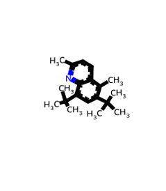 Cc1ccc2c(C)c(C(C)(C)C)cc(C(C)(C)C)c2n1